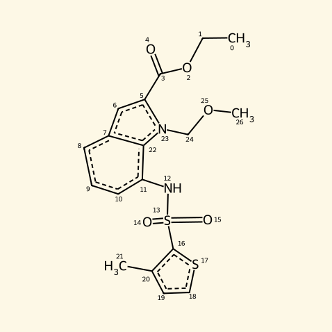 CCOC(=O)c1cc2cccc(NS(=O)(=O)c3sccc3C)c2n1COC